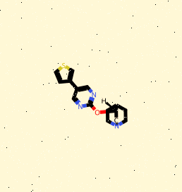 c1cc(-c2cnc(O[C@H]3CN4CCC3CC4)nc2)cs1